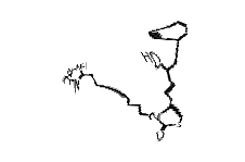 O=C1SC[C@H](/C=C/C(O)Cc2ccccc2)N1CCCCCCc1nnn[nH]1